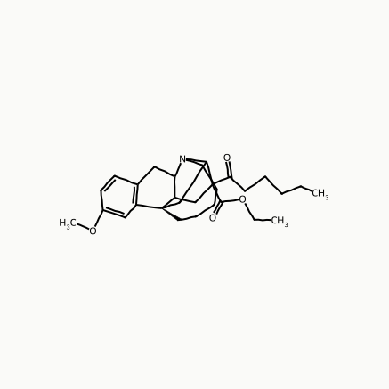 CCCCCC(=O)C1(C(=O)OCC)CC2C3Cc4ccc(OC)cc4[C@]24CCCCCN3C1C4